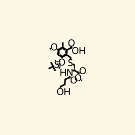 COC(=O)[C@H](CSCc1c(O[Si](C)(C)C(C)(C)C)cc(OC)c(C)c1C(=O)O)NC(=O)CCCO